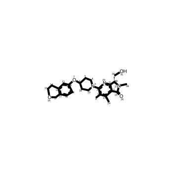 Cc1c(N2CCC(Oc3ccc4c(c3)CCOC4)CC2)nc2c(c1C)C(=O)N(C)[C@H]2CO